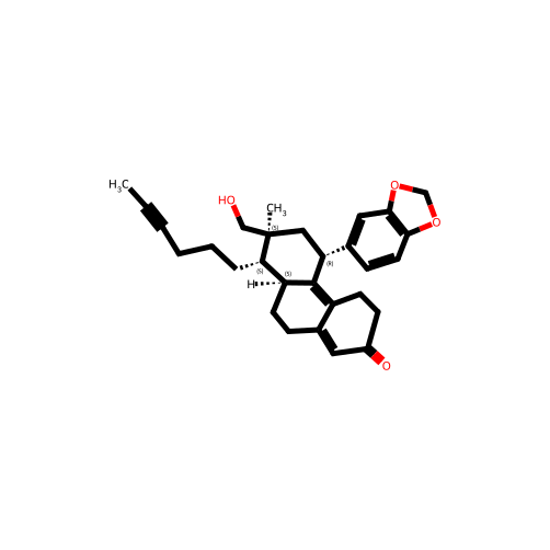 CC#CCCC[C@H]1[C@@H]2CCC3=CC(=O)CCC3=C2[C@@H](c2ccc3c(c2)OCO3)C[C@]1(C)CO